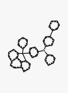 c1ccc(-c2ccc(N(c3ccccc3)c3ccc(C4(c5ccccc5)c5cccc6ccc7cccc4c7c56)cc3)cc2)cc1